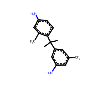 CC(C)(c1cc(N)cc(C(F)(F)F)c1)c1ccc(N)cc1C(F)(F)F